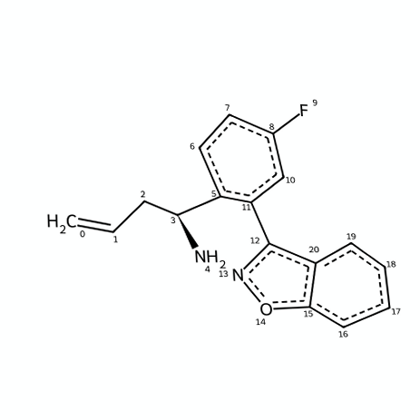 C=CC[C@H](N)c1ccc(F)cc1-c1noc2ccccc12